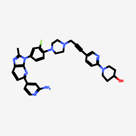 Cc1nc2ccc(-c3ccnc(N)c3)nc2n1-c1ccc(N2CCN(CC#Cc3ccc(N4CCC(O)CC4)nc3)CC2)c(F)c1